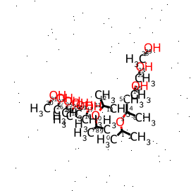 CC(C)OC(C)C.CC(C)OC(C)C.CO.CO.CO.CO.CO.CO.CO.CO.CO